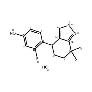 CC1(C)CCC(c2ccc(C#N)cc2F)c2c[nH]nc21.Cl